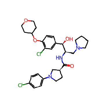 O=C(N[C@H](CN1CCCC1)[C@H](O)c1ccc(OC2CCOCC2)c(Cl)c1)[C@H]1CCN(c2ccc(Cl)cc2)C1